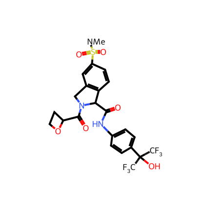 CNS(=O)(=O)c1ccc2c(c1)CN(C(=O)C1CCO1)C2C(=O)Nc1ccc(C(O)(C(F)(F)F)C(F)(F)F)cc1